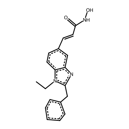 CCn1c(Cc2ccccc2)nc2cc(C=CC(=O)NO)ccc21